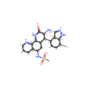 CS(=O)(=O)Nc1cc2c(-c3ccc(F)c4[nH]ncc34)c(N)c(=O)[nH]c2c2ncccc12